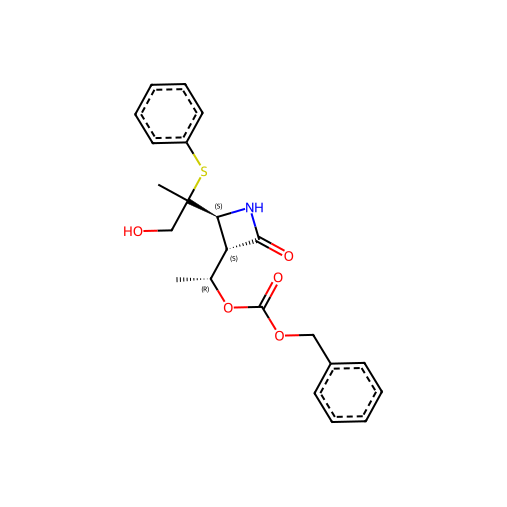 C[C@@H](OC(=O)OCc1ccccc1)[C@H]1C(=O)N[C@@H]1C(C)(CO)Sc1ccccc1